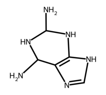 NC1Nc2[nH]cnc2C(N)N1